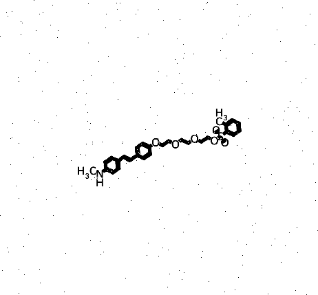 CNc1ccc(C=Cc2ccc(OCCOCCOCCOS(=O)(=O)c3ccccc3C)cc2)cc1